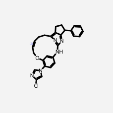 Clc1cn(-c2ccc3cc2OC/C=C\CCc2nc(nc4c2CCC4c2ccccc2)N3)cn1